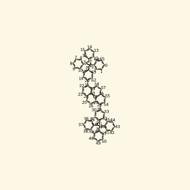 c1ccc([Si](c2ccccc2)(c2ccccc2)c2ccc(-c3ccc4ccc5c(-c6ccc([Si](c7ccccc7)(c7ccccc7)c7ccccc7)cc6)ccc6ccc3c4c65)cc2)cc1